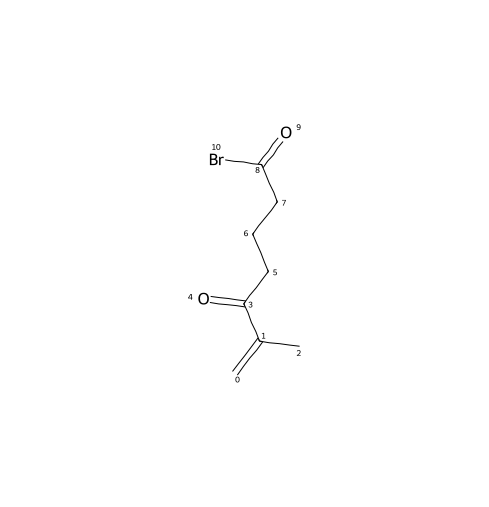 C=C(C)C(=O)CCCC(=O)Br